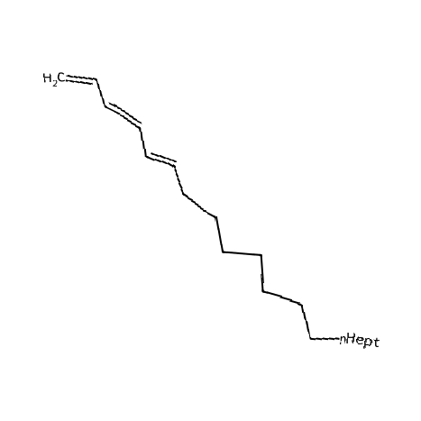 C=CC=CC=CCCCCCCCCCCCCCC